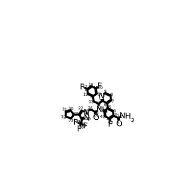 NC(=O)c1cc(-c2cccnc2C(Cc2cc(F)cc(F)c2)NC(=O)Cn2cc(C3C=CCC3)c(C(F)(F)F)n2)ccc1F